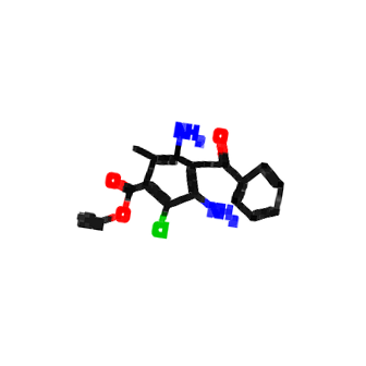 Cc1c(N)c(C(=O)c2ccccc2)c(N)c(Cl)c1C(=O)OC(C)(C)C